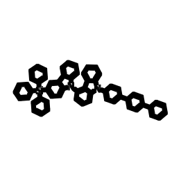 c1ccc(-c2ccc(-c3ccc(-n4c5ccccc5c5c(-n6c7ccccc7c7cc([Si](c8ccccc8)(c8ccccc8)c8ccccc8)ccc76)cccc54)cc3)cc2)cc1